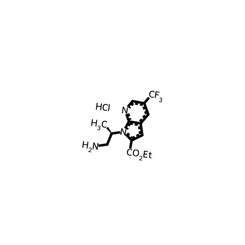 CCOC(=O)c1cc2cc(C(F)(F)F)cnc2n1[C@H](C)CN.Cl